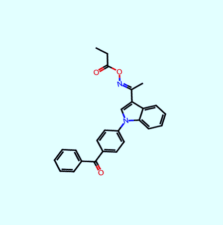 CCC(=O)O/N=C(\C)c1cn(-c2ccc(C(=O)c3ccccc3)cc2)c2ccccc12